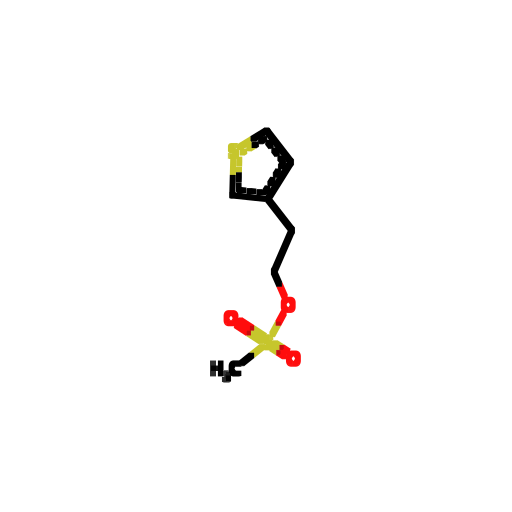 CS(=O)(=O)OCCc1ccsc1